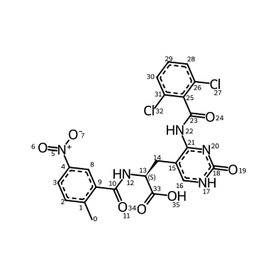 Cc1ccc([N+](=O)[O-])cc1C(=O)N[C@@H](Cc1c[nH]c(=O)nc1NC(=O)c1c(Cl)cccc1Cl)C(=O)O